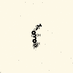 CC(C)c1csc(COc2ccc3c(c2)C(O)C(Cc2cccc(NS(=O)(=O)C(F)(F)F)c2)CO3)n1